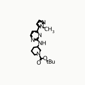 Cn1nccc1-c1ccnc(NC2CCCN(C(=O)OC(C)(C)C)C2)n1